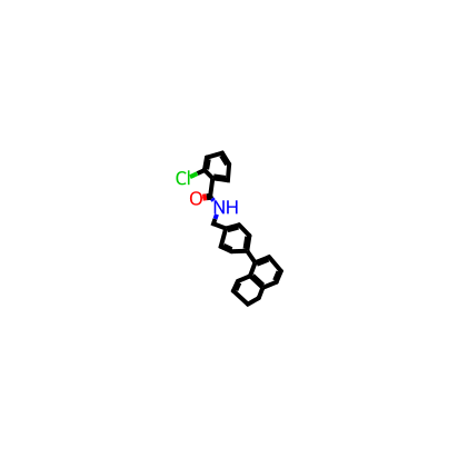 O=C(NCc1ccc(-c2cccc3c2C=CCC3)cc1)c1ccccc1Cl